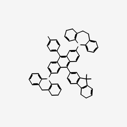 Cc1ccc(-c2c3ccc(N4C5=C(CCC=C5)Cc5ccccc54)cc3c(-c3ccc4c(c3)C(C)(C)C3=C4CCC=C3)c3ccc(N4C5=C(CCC=C5)CCc5ccccc54)cc23)cc1